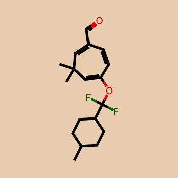 CC1CCC(C(F)(F)OC2=CC(C)(C)C=C(C=O)C=C2)CC1